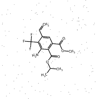 C=Cc1cc(C(=O)OC)c(C(=O)OC(C)C)c(N)c1C(F)(F)F